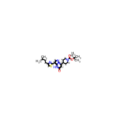 CC(C)CCc1csc(-c2cnn3c(C4CCN(C(=O)OC(C)(C)C)CC4)cc(=O)[nH]c23)n1